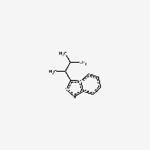 CC(C)C(C)c1nnc2ccccn12